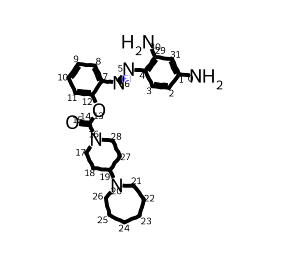 Nc1ccc(/N=N/c2ccccc2OC(=O)N2CCC(N3CCCCCC3)CC2)c(N)c1